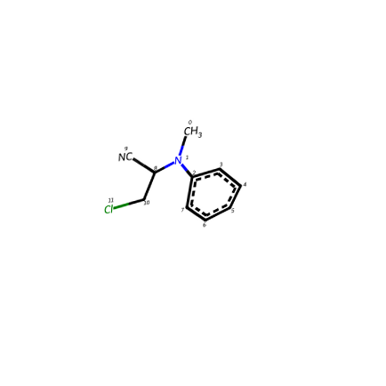 CN(c1ccccc1)C(C#N)CCl